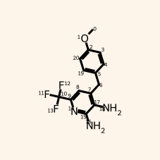 COc1ccc(Cc2cc(C(F)(F)F)nc(N)c2N)cc1